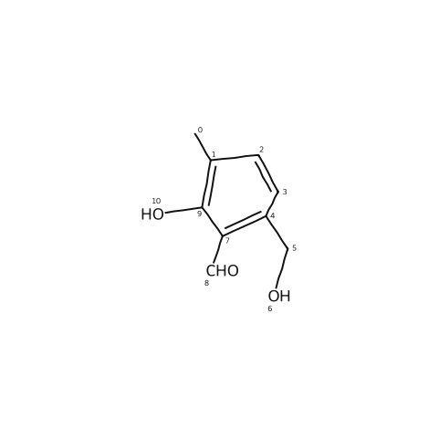 Cc1ccc(CO)c(C=O)c1O